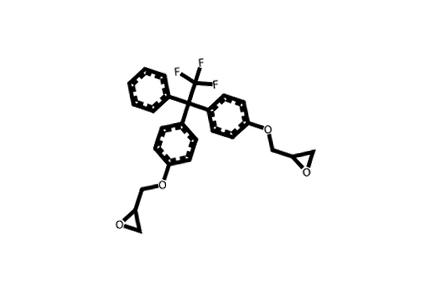 FC(F)(F)C(c1ccccc1)(c1ccc(OCC2CO2)cc1)c1ccc(OCC2CO2)cc1